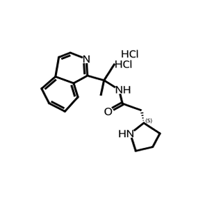 CC(C)(NC(=O)C[C@@H]1CCCN1)c1nccc2ccccc12.Cl.Cl